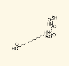 C=[SH]C(=O)CNC(=O)CC[C@H](NC(=O)CCCCCCCCCCCCCCC(=O)O)C(=O)O